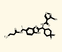 CC(C)c1nocc1C(=O)N[C@H](c1nc2cc([C@@H](C)NC(=O)CCC(F)(F)F)ccc2[nH]1)C1CCC(F)(F)CC1